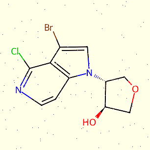 O[C@@H]1COC[C@H]1n1cc(Br)c2c(Cl)nccc21